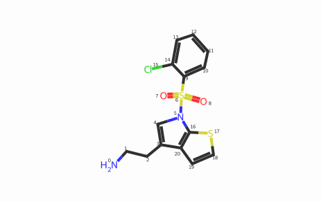 NCCc1cn(S(=O)(=O)c2ccccc2Cl)c2sccc12